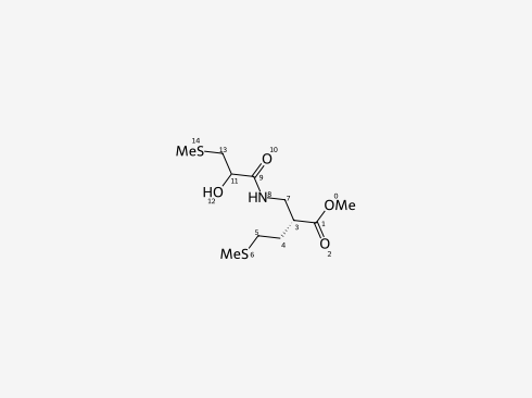 COC(=O)[C@H](CCSC)CNC(=O)C(O)CSC